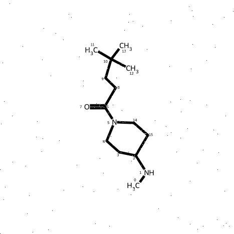 CNC1CCN(C(=O)CCC(C)(C)C)CC1